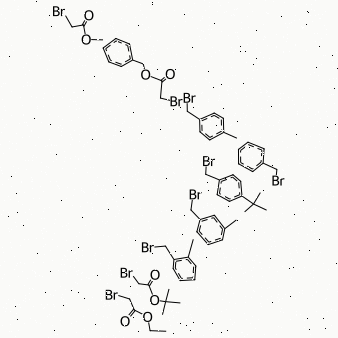 BrCc1ccccc1.CC(C)(C)OC(=O)CBr.CC(C)(C)c1ccc(CBr)cc1.CCOC(=O)CBr.COC(=O)CBr.Cc1ccc(CBr)cc1.Cc1cccc(CBr)c1.Cc1ccccc1CBr.O=C(CBr)OCc1ccccc1